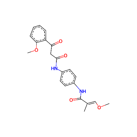 COC=C(C)C(=O)Nc1ccc(NC(=O)CC(=O)c2ccccc2OC)cc1